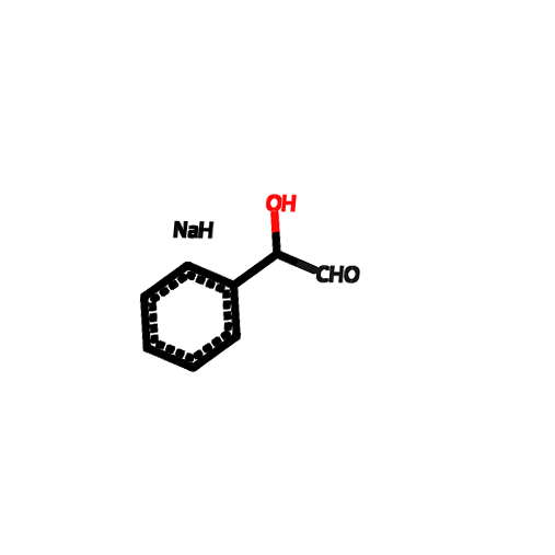 O=CC(O)c1ccccc1.[NaH]